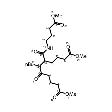 CCCCN(C(=O)CCCC(=O)OC)C(CCCC(=O)OC)C(=O)NCCCC(=O)OC